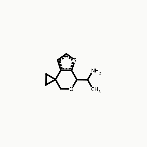 CC(N)C1OCC2(CC2)c2ccsc21